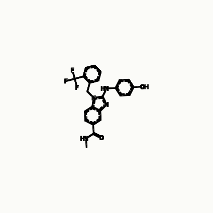 CNC(=O)c1ccc2c(c1)nc(Nc1ccc(O)cc1)n2Cc1ccccc1C(F)(F)F